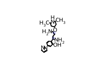 CC1CC(O/C(N)=C/C=C(\N)c2ccc(-n3cccn3)cc2O)CC(C)N1